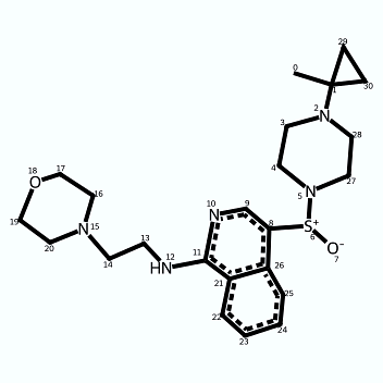 CC1(N2CCN([S+]([O-])c3cnc(NCCN4CCOCC4)c4ccccc34)CC2)CC1